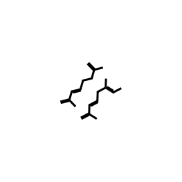 C=C(C)C=CCC(C)=CC.C=C(C)C=CCCC(=C)C